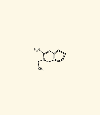 CCN1Cc2ccccc2C=C1N